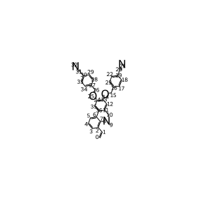 C=Cc1cccc2c1N(C)Cc1cc(OCc3ccc(C#N)cc3)c(OCc3ccc(C#N)cc3)cc1-2